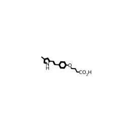 Cc1c[nH]c(C=Cc2ccc(OCCCC(=O)O)cc2)c1